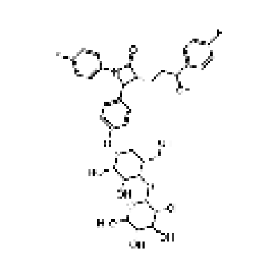 C[C@H]1O[C@@H](O[C@@H]2[C@@H](CO)C[C@@H](Oc3ccc([C@@H]4[C@@H](CC[C@H](O)c5ccc(F)cc5)C(=O)N4c4ccc(F)cc4)cc3)[C@H](O)[C@H]2O)[C@H](O)[C@@H](O)[C@@H]1O